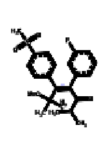 COC(C)(C)/C(=C(\C(=O)N(C)C)c1cccc(F)c1)c1ccc(S(C)(=O)=O)cc1